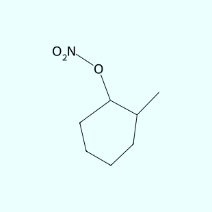 CC1CCCCC1O[N+](=O)[O-]